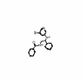 O=C(NCC(Nc1cncc(Br)c1)c1ccccc1)c1ccccc1